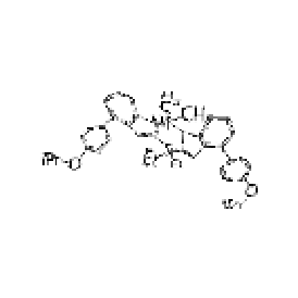 CC[Si]1(CC)C2=Cc3c(-c4ccc(OC(C)C)cc4)cccc3[CH]2[Hf]([CH3])([CH3])[CH]2C1=Cc1c(-c3ccc(OC(C)C)cc3)cccc12